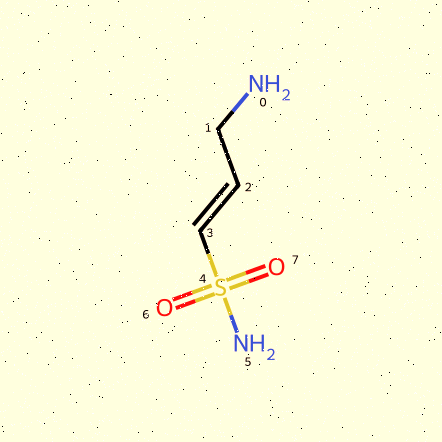 NCC=CS(N)(=O)=O